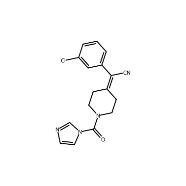 N#CC(=C1CCN(C(=O)n2ccnc2)CC1)c1cccc(Cl)c1